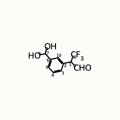 O=CC(c1cccc(C(O)O)c1)C(F)(F)F